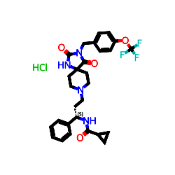 Cl.O=C(N[C@@H](CCN1CCC2(CC1)NC(=O)N(Cc1ccc(OC(F)(F)F)cc1)C2=O)c1ccccc1)C1CC1